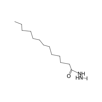 CCCCCCCCCCCCC(=O)NNI